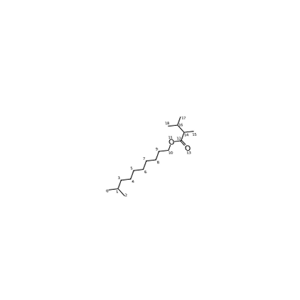 CC(C)CCCCCCCCOC(=O)C(C)C(C)C